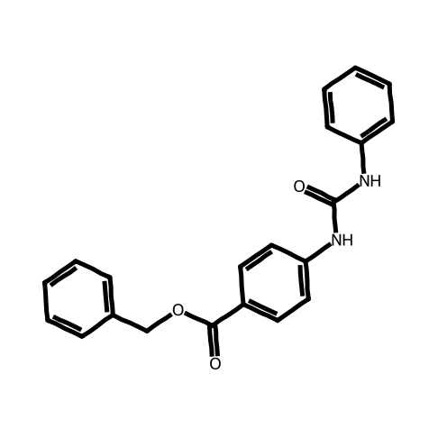 O=C(Nc1ccccc1)Nc1ccc(C(=O)OCc2ccccc2)cc1